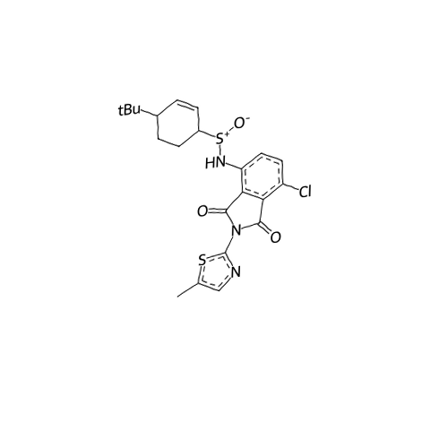 Cc1cnc(N2C(=O)c3c(Cl)ccc(N[S+]([O-])C4C=CC(C(C)(C)C)CC4)c3C2=O)s1